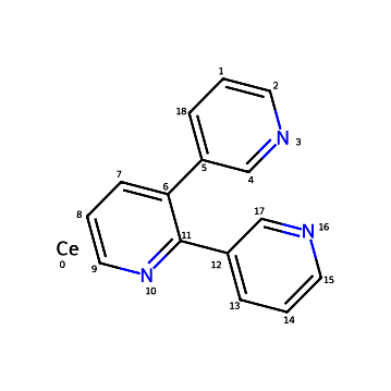 [Ce].c1cncc(-c2cccnc2-c2cccnc2)c1